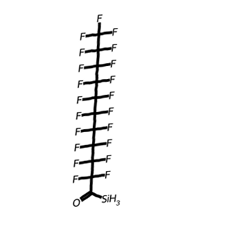 O=C([SiH3])C(F)(F)C(F)(F)C(F)(F)C(F)(F)C(F)(F)C(F)(F)C(F)(F)C(F)(F)C(F)(F)C(F)(F)F